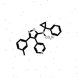 Cc1cccc(-c2noc(N(C(=O)O)C3(c4ccccc4)CC3)c2-c2ccncc2)c1